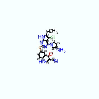 CCc1[nH]c2nc(Sc3ccc4[nH]cc(C#N)c(=O)c4c3)nc(N3CC[C@@H](N)C3)c2c1Cl